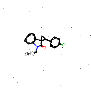 O=CCN1C(=O)C2(CC2c2ccc(Cl)cc2)c2ccccc21